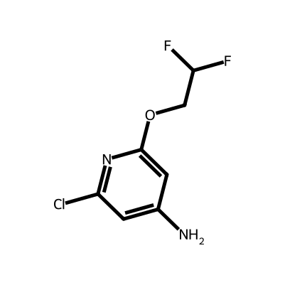 Nc1cc(Cl)nc(OCC(F)F)c1